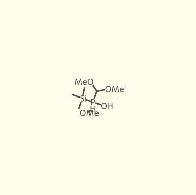 COC(OC)[PH](O)(OC)[Si](C)(C)C